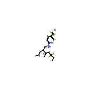 CCCC(CNc1ccc(C(F)(F)F)cn1)C(C)CC(F)(F)CC